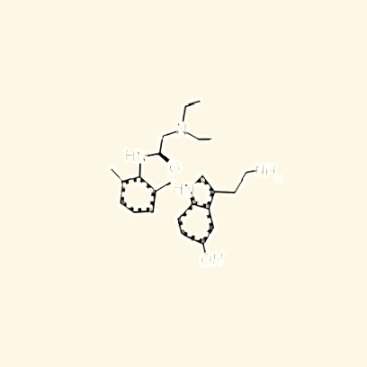 CCN(CC)CC(=O)Nc1c(C)cccc1C.NCCc1c[nH]c2ccc(O)cc12